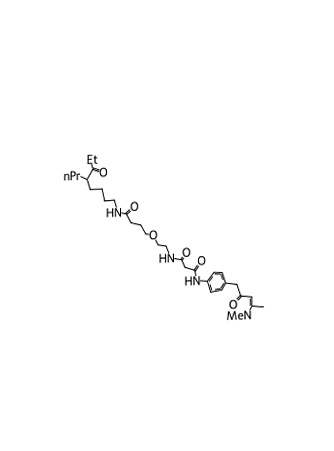 CCCC(CCCCNC(=O)CCCOCCNC(=O)CC(=O)Nc1ccc(CC(=O)/C=C(/C)NC)cc1)C(=O)CC